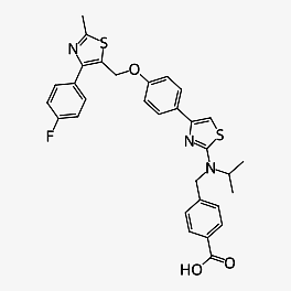 Cc1nc(-c2ccc(F)cc2)c(COc2ccc(-c3csc(N(Cc4ccc(C(=O)O)cc4)C(C)C)n3)cc2)s1